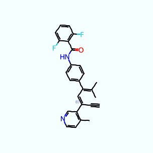 C#C/C(=C\C(=C(C)C)c1ccc(NC(=O)c2c(F)cccc2F)cc1)c1cnccc1C